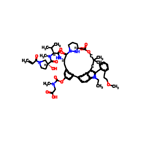 C=CC(=O)N1CC[C@](O)(C(=O)N(C)[C@H](C(=O)N[C@H]2Cc3cc(OC(=O)N(C)CC(=O)O)cc(c3)-c3ccc4c(c3)c(c(-c3ccccc3CCOC)n4CC)CC(C)(C)COC(=O)[C@@]3(O)CCCN(N3)C2=O)C(C)C)C1